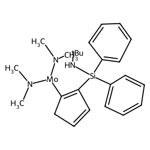 C[N](C)[Mo]([C]1=C([Si](NC(C)(C)C)(c2ccccc2)c2ccccc2)C=CC1)[N](C)C